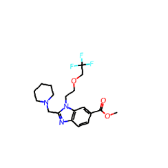 COC(=O)c1ccc2nc(CN3CCCCC3)n(CCOCC(F)(F)F)c2c1